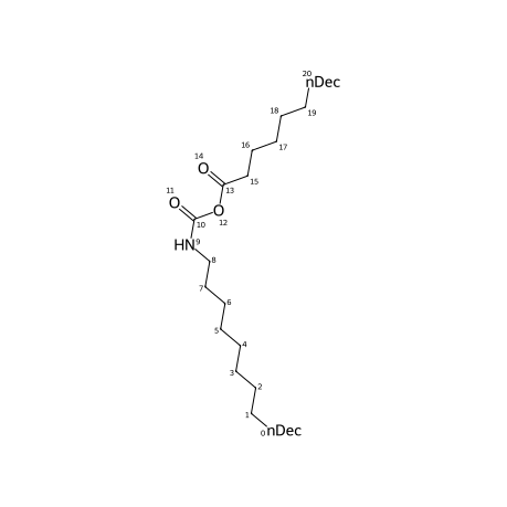 CCCCCCCCCCCCCCCCCCNC(=O)OC(=O)CCCCCCCCCCCCCCC